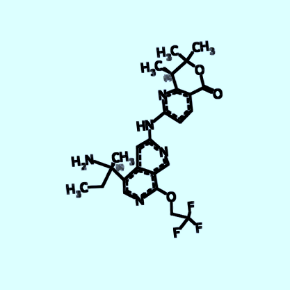 CC[C@](C)(N)c1cnc(OCC(F)(F)F)c2cnc(Nc3ccc4c(n3)[C@@H](C)C(C)(C)OC4=O)cc12